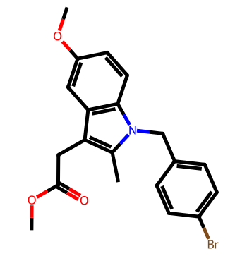 COC(=O)Cc1c(C)n(Cc2ccc(Br)cc2)c2ccc(OC)cc12